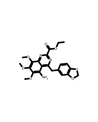 CCOC(=O)c1nc(Cc2ccc3c(c2)OCO3)c2c(N)c(OC)c(OC)c(OC)c2n1